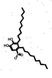 CCCCCCCCCCc1c([N+](=O)[O-])cc(O)c(O)c1CCCCCCCCCC